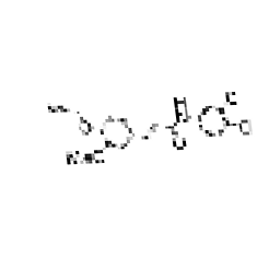 C#CCOc1ccc(/C=C/C(=O)Nc2ccc(Cl)c(Cl)c2)cc1OC